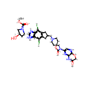 CC(C)(C)OC(=O)N1C[C@H](O)C[C@H]1c1nc2c(F)c3c(c(F)c2[nH]1)CC(CN1CCC2(CC1)CN(c1cnc4c(n1)NC(=O)CO4)C(=O)O2)C3